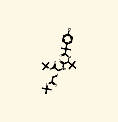 CC(C)(C)OC(=O)CC[C@@H](NC(=O)[C@@H](NC(=O)C(C)(C)c1ccc(Cl)cc1)C(C)(C)C)C(=O)OC(C)(C)C